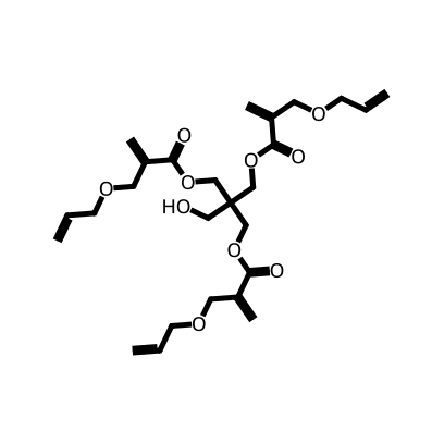 C=CCOCC(=C)C(=O)OCC(CO)(COC(=O)C(=C)COCC=C)COC(=O)C(=C)COCC=C